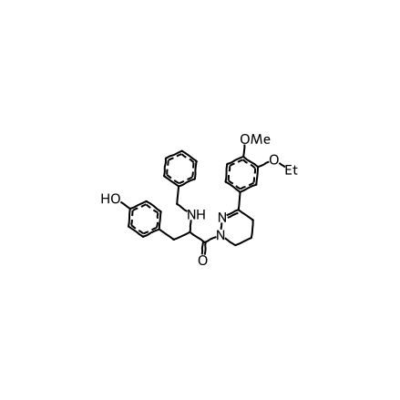 CCOc1cc(C2=NN(C(=O)C(Cc3ccc(O)cc3)NCc3ccccc3)CCC2)ccc1OC